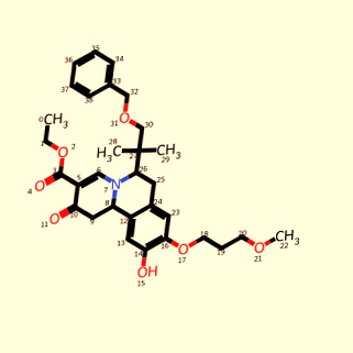 CCOC(=O)C1=CN2C(CC1=O)c1cc(O)c(OCCCOC)cc1CC2C(C)(C)COCc1ccccc1